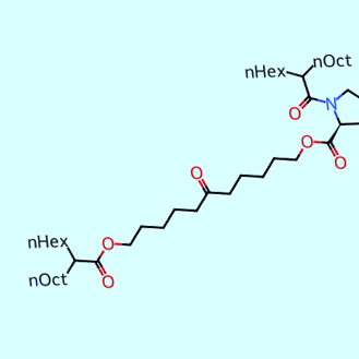 CCCCCCCCC(CCCCCC)C(=O)OCCCCCC(=O)CCCCCOC(=O)[C@@H]1CCCN1C(=O)C(CCCCCC)CCCCCCCC